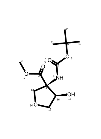 COC(=O)[C@@]1(NC(=O)OC(C)(C)C)COC[C@@H]1O